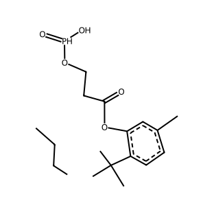 CCCC.Cc1ccc(C(C)(C)C)c(OC(=O)CCO[PH](=O)O)c1